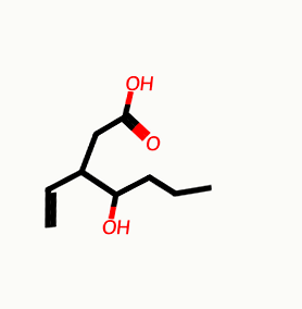 C=CC(CC(=O)O)C(O)CCC